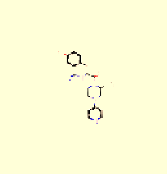 N#CC1CN(c2ccncc2)CCN1C(=O)[C@@H](Cc1ccc(O)cc1)NC=N